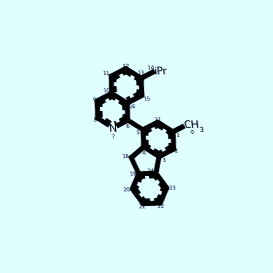 Cc1cc2c(c(-c3nccc4ccc(C(C)C)cc34)c1)Cc1ccccc1-2